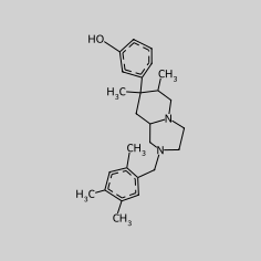 Cc1cc(C)c(CN2CCN3CC(C)C(C)(c4cccc(O)c4)CC3C2)cc1C